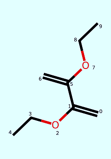 C=C(OCC)C(=C)OCC